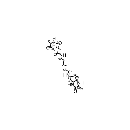 CC1NC(=O)C(CC(=O)NCCCCCCNC(=O)CC2NC(=O)C(C)NC2=O)NC1=O